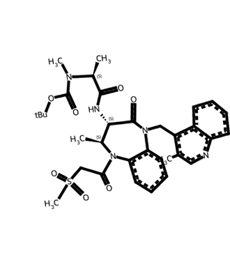 Cc1cnc2ccccc2c1CN1C(=O)[C@@H](NC(=O)[C@H](C)N(C)C(=O)OC(C)(C)C)[C@H](C)N(C(=O)CS(C)(=O)=O)c2ccccc21